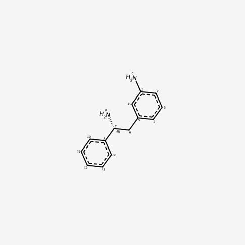 Nc1cccc(C[C@@H](N)c2ccccc2)c1